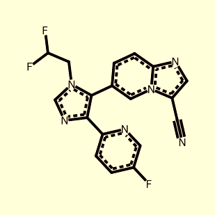 N#Cc1cnc2ccc(-c3c(-c4ccc(F)cn4)ncn3CC(F)F)cn12